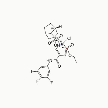 CCOC(=O)/C=C/C1(O)CC2CC[C@H](C1)C2S(=O)(=O)c1cc(C(=O)Nc2cc(F)c(F)c(F)c2)ccc1Cl